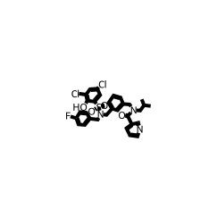 CC(C)CN(Cc1cccc(CN(Cc2ccc(F)cc2)S(=O)(=O)c2cc(Cl)cc(Cl)c2O)c1)C(=O)c1cccnc1